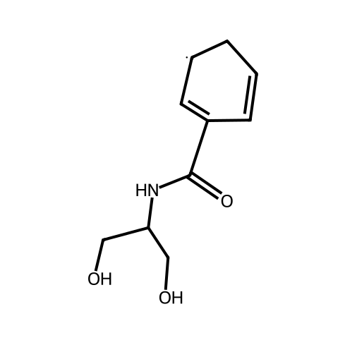 O=C(NC(CO)CO)C1=C[CH]CC=C1